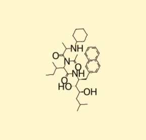 CCC(C)C(C(=O)N[C@@H](Cc1ccc2ccccc2c1)[C@@H](O)[C@@H](O)CC(C)C)N(C(C)=O)C(=O)C(C)NC1CCCCC1